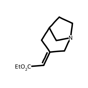 CCOC(=O)C=C1CC2CCN(C1)C2